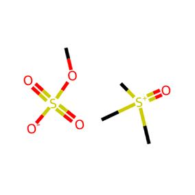 COS(=O)(=O)[O-].C[S+](C)(C)=O